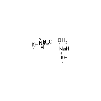 O.O.[KH].[KH].[NaH].[NaH]